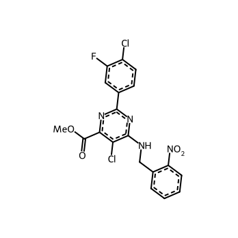 COC(=O)c1nc(-c2ccc(Cl)c(F)c2)nc(NCc2ccccc2[N+](=O)[O-])c1Cl